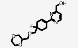 OCc1ccnc(C2=CCC(F)(COCC3COCCO3)CC2)n1